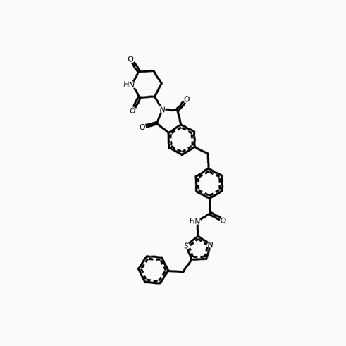 O=C1CCC(N2C(=O)c3ccc(Cc4ccc(C(=O)Nc5ncc(Cc6ccccc6)s5)cc4)cc3C2=O)C(=O)N1